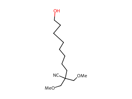 COCC(C#N)(CCCCCCCCO)COC